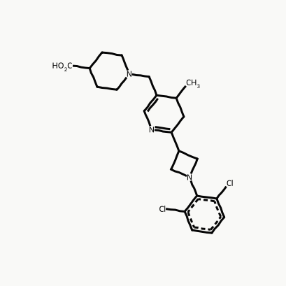 CC1CC(C2CN(c3c(Cl)cccc3Cl)C2)=NC=C1CN1CCC(C(=O)O)CC1